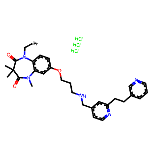 CC(C)CN1C(=O)C(C)(C)C(=O)N(C)c2cc(OCCCNCc3ccnc(CCc4cccnc4)c3)ccc21.Cl.Cl.Cl